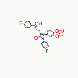 CS(=O)(=O)Oc1ccc([C@@H]2[C@@H](CC[C@H](O)c3ccc(F)cc3)C(=O)N2c2ccc(F)cc2)cc1